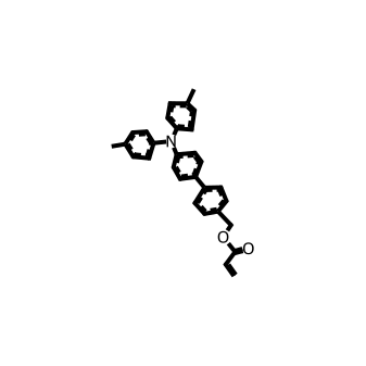 C=CC(=O)OCc1ccc(-c2ccc(N(c3ccc(C)cc3)c3ccc(C)cc3)cc2)cc1